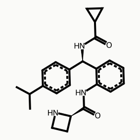 CC(C)c1ccc([C@@H](NC(=O)C2CC2)c2ccccc2NC(=O)[C@H]2CCN2)cc1